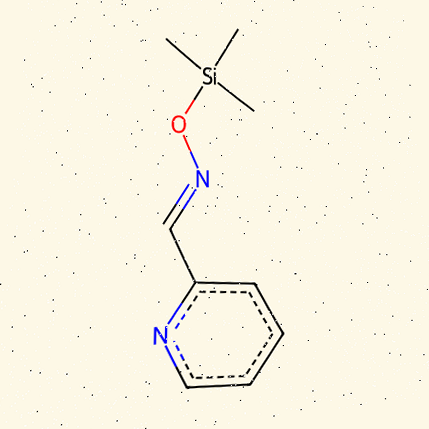 C[Si](C)(C)O/N=C/c1ccccn1